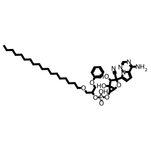 CCCCCCCCCCCCCCCCCCOCC(COc1ccccc1)OP(=O)(O)OC1C2OC(C#N)(c3ccc4c(N)ncnn34)C(O)C21O